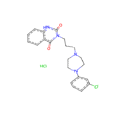 Cl.O=c1[nH]c2ccccc2c(=O)n1CCCN1CCN(c2cccc(Cl)c2)CC1